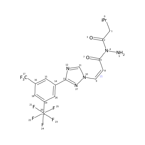 CC(C)CC(=O)N(N)C(=O)/C=C\n1cnc(-c2cc(C(F)(F)F)cc(S(F)(F)(F)(F)F)c2)n1